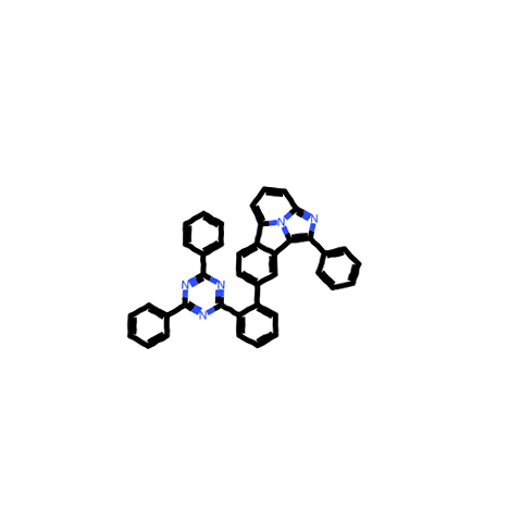 c1ccc(-c2nc(-c3ccccc3)nc(-c3ccccc3-c3ccc4c(c3)c3c(-c5ccccc5)nc5cccc4n53)n2)cc1